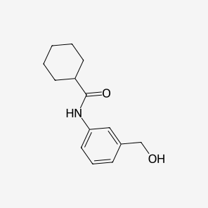 O=C(Nc1cccc(CO)c1)C1CCCCC1